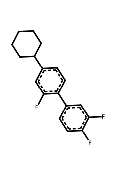 Fc1ccc(-c2ccc(C3CCCCC3)cc2F)cc1F